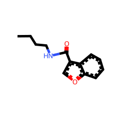 CCCCNC(=O)c1coc2ccccc12